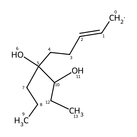 [CH2]/C=C/CCC(O)(CCC)C(O)CC